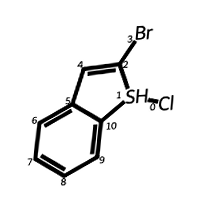 Cl[SH]1C(Br)=Cc2ccccc21